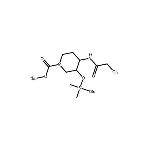 CC(C)(C)OC(=O)N1CCC(NC(=O)CO)C(O[Si](C)(C)C(C)(C)C)C1